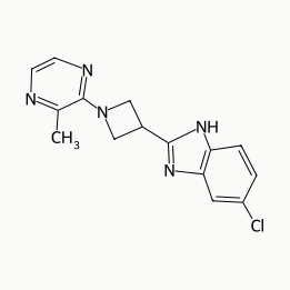 Cc1nccnc1N1CC(c2nc3cc(Cl)ccc3[nH]2)C1